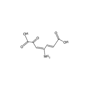 NC(/C=C/C(=O)O)=C/C(=O)C(=O)O